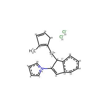 CC1=[C]([Ti+2][CH]2C(n3cccc3)=Cc3ccccc32)CC=C1.[Cl-].[Cl-]